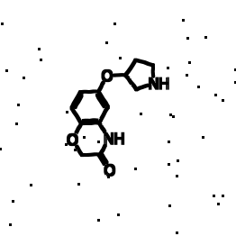 O=C1COc2ccc(OC3CCNC3)cc2N1